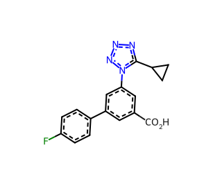 O=C(O)c1cc(-c2ccc(F)cc2)cc(-n2nnnc2C2CC2)c1